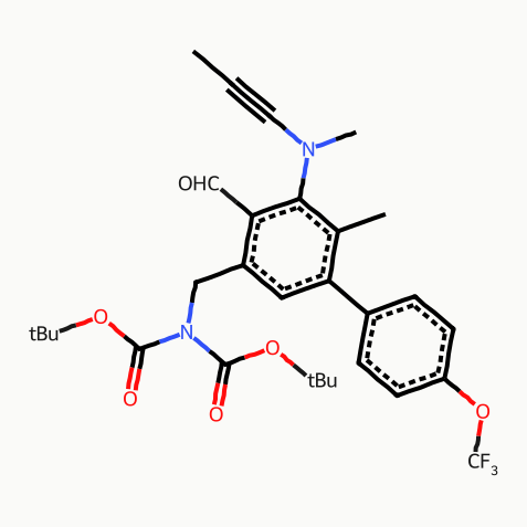 CC#CN(C)c1c(C)c(-c2ccc(OC(F)(F)F)cc2)cc(CN(C(=O)OC(C)(C)C)C(=O)OC(C)(C)C)c1C=O